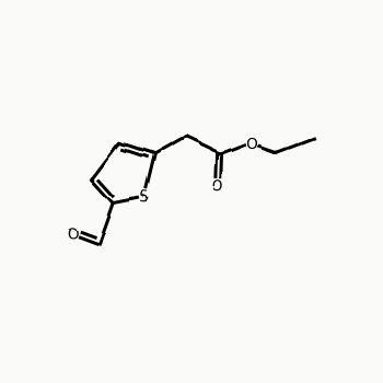 CCOC(=O)Cc1ccc(C=O)s1